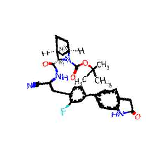 CC(C)(C)OC(=O)N1[C@@H]2CC[C@@H](C2)[C@H]1C(=O)NC(C#N)Cc1ccc(-c2ccc3c(c2)NC(=O)C3)cc1F